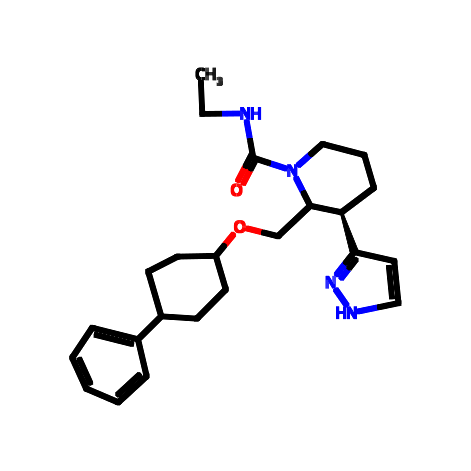 CCNC(=O)N1CCC[C@@H](c2cc[nH]n2)C1COC1CCC(c2ccccc2)CC1